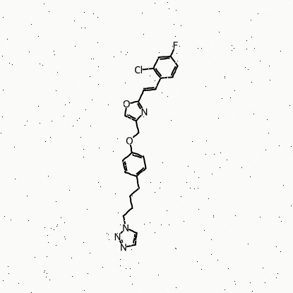 Fc1ccc(/C=C/c2nc(COc3ccc(CCCCn4ccnn4)cc3)co2)c(Cl)c1